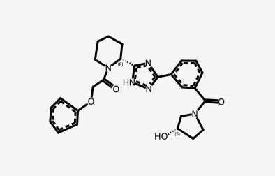 O=C(c1cccc(-c2n[nH]c([C@H]3CCCCN3C(=O)COc3ccccc3)n2)c1)N1CC[C@H](O)C1